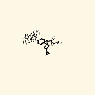 CC(C)(C)OC(=O)NC1(c2ccc(B3OC(C)(C)C(C)(C)O3)cc2)CC(C2CC2)C1